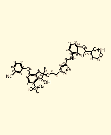 CS(=O)(=O)c1ccc(Oc2cccc(C#N)c2)c2c1[C@H](O)C(F)(OCCn1cc(CNc3cccc4c3OC(C3CCONO3)O4)nn1)C2